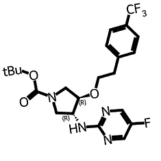 CC(C)(C)OC(=O)N1C[C@@H](Nc2ncc(F)cn2)[C@H](OCCc2ccc(C(F)(F)F)cc2)C1